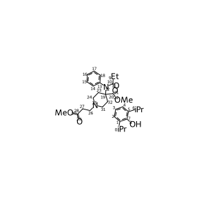 CC(C)c1cccc(C(C)C)c1O.CCC(=O)N(c1ccccc1)C1(C(=O)OC)CCN(CCC(=O)OC)CC1